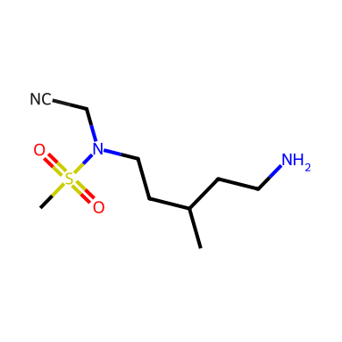 CC(CCN)CCN(CC#N)S(C)(=O)=O